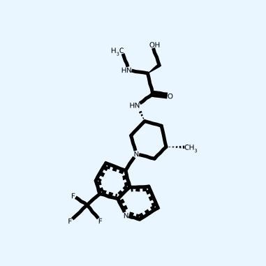 CN[C@@H](CO)C(=O)N[C@@H]1C[C@H](C)CN(c2ccc(C(F)(F)F)c3ncccc23)C1